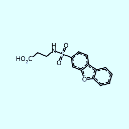 O=C(O)CCNS(=O)(=O)c1ccc2c(c1)oc1ccccc12